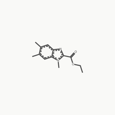 CCOC(=O)c1nc2cc(C)c(C)cc2n1C